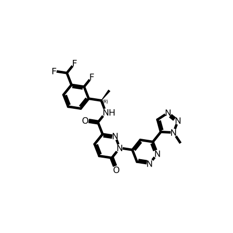 C[C@@H](NC(=O)c1ccc(=O)n(-c2cnnc(-c3cnnn3C)c2)n1)c1cccc(C(F)F)c1F